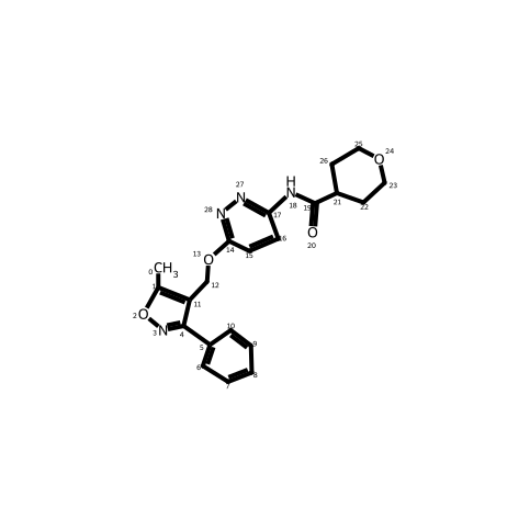 Cc1onc(-c2ccccc2)c1COc1ccc(NC(=O)C2CCOCC2)nn1